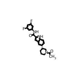 CC(=O)N1CCC[C@H](c2ccc3[nH]c(C(=O)Nc4cc(F)cc(F)c4)cc3c2)C1